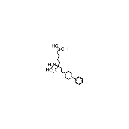 NC(CCCCB(O)O)(CCN1CCN(c2ccccc2)CC1)C(=O)O